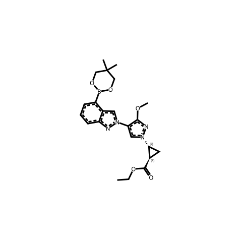 CCOC(=O)[C@@H]1C[C@H]1n1cc(-n2cc3c(B4OCC(C)(C)CO4)cccc3n2)c(OC)n1